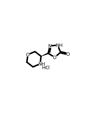 Cl.O=c1[nH]nc([C@@H]2COCCN2)o1